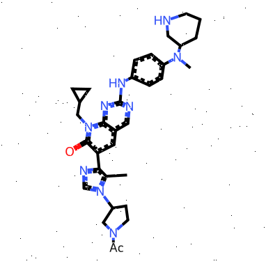 CC(=O)N1CCC(n2cnc(-c3cc4cnc(Nc5ccc(N(C)C6CCCNC6)cc5)nc4n(CC4CC4)c3=O)c2C)C1